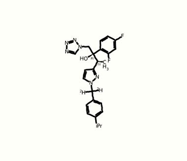 [2H]C([2H])(c1ccc(C(C)C)cc1)n1ccc([C@H](C)[C@](O)(Cn2cnnn2)c2ccc(F)cc2F)n1